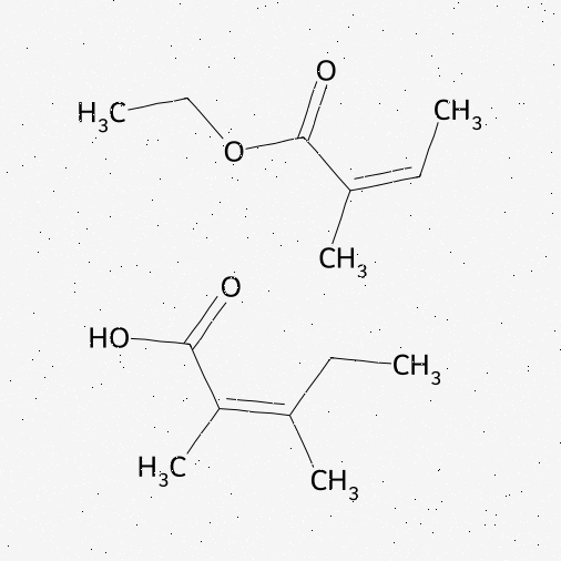 CC/C(C)=C(/C)C(=O)O.CC=C(C)C(=O)OCC